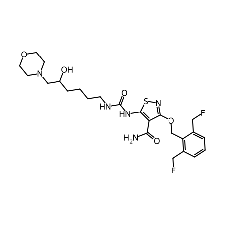 NC(=O)c1c(OCc2c(CF)cccc2CF)nsc1NC(=O)NCCCCC(O)CN1CCOCC1